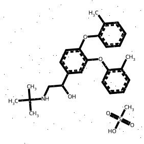 CS(=O)(=O)O.Cc1ccccc1Oc1ccc(C(O)CNC(C)(C)C)cc1Oc1ccccc1C